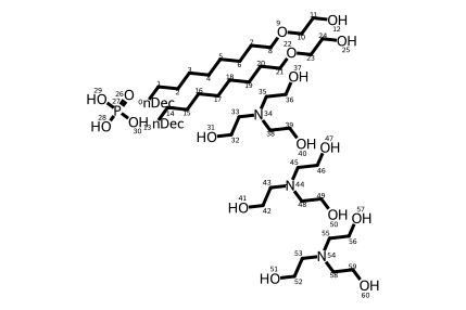 CCCCCCCCCCCCCCCCCCOCCO.CCCCCCCCCCCCCCCCCCOCCO.O=P(O)(O)O.OCCN(CCO)CCO.OCCN(CCO)CCO.OCCN(CCO)CCO